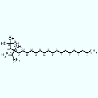 CCCCCCCCCCCCCCCCCCC(N)(CC(O)(O)O)C(C)N